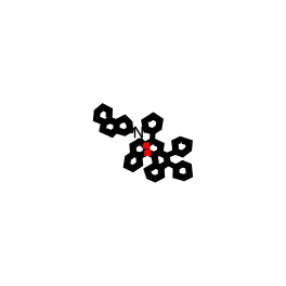 c1ccc(-c2c(-c3ccccc3)c3cc(-c4ccccc4N(c4ccc5ccccc5c4)c4ccc5c(ccc6ccccc65)c4)ccc3c3ccccc23)cc1